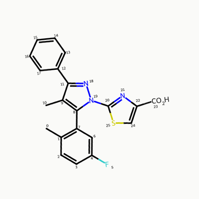 Cc1ccc(F)cc1-c1c(C)c(-c2ccccc2)nn1-c1nc(C(=O)O)cs1